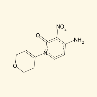 Nc1ccn(C2=CCOCC2)c(=O)c1[N+](=O)[O-]